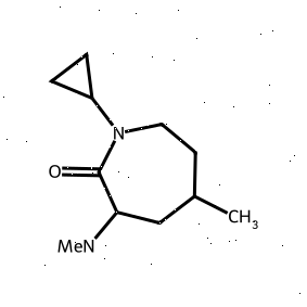 CNC1CC(C)CCN(C2CC2)C1=O